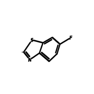 Fc1ccc2n[c]sc2c1